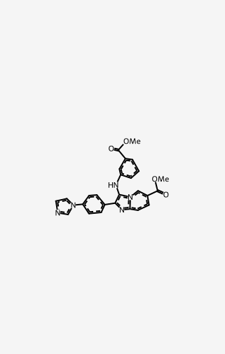 COC(=O)c1cccc(Nc2c(-c3ccc(-n4ccnc4)cc3)nc3ccc(C(=O)OC)cn23)c1